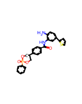 Nc1ccc(-c2cccs2)cc1NC(=O)c1ccc(C2COP(=O)(c3ccccc3)OC2)cc1